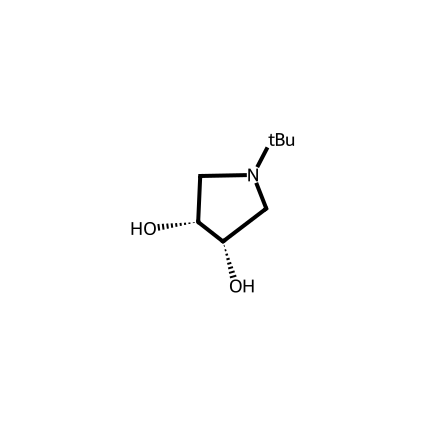 CC(C)(C)N1C[C@@H](O)[C@@H](O)C1